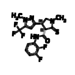 CN1C[C@H](c2cc(C(F)(F)F)n(C)n2)[C@@H](C(=O)Nc2cccc(F)c2F)C1=S